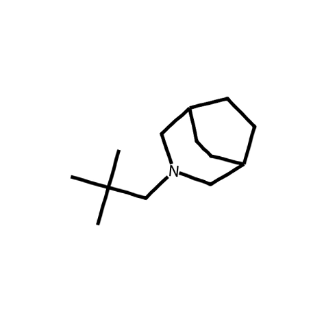 CC(C)(C)CN1CC2CCC(CC2)C1